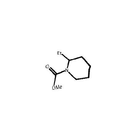 [CH2]CC1CCCCN1C(=O)OC